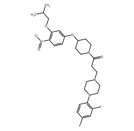 CC(C)COc1cc(OC2CCN(C(=O)CCN3CCN(c4ccc(F)cc4F)CC3)CC2)ccc1[N+](=O)[O-]